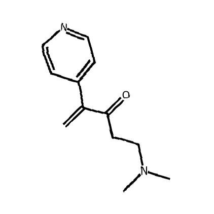 C=C(C(=O)CCN(C)C)c1ccncc1